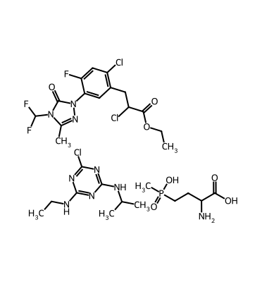 CCNc1nc(Cl)nc(NC(C)C)n1.CCOC(=O)C(Cl)Cc1cc(-n2nc(C)n(C(F)F)c2=O)c(F)cc1Cl.CP(=O)(O)CCC(N)C(=O)O